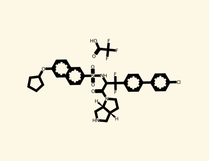 O=C(C(NS(=O)(=O)c1ccc2cc(OC3CCCC3)ccc2c1)C(F)(F)c1ccc(-c2ccc(Cl)cc2)cc1)N1CC[C@@H]2CNC[C@@H]21.O=C(O)C(F)(F)F